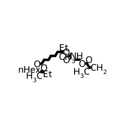 C=C(C)C(=O)OCCNC(=O)OC(C)(CC)CCCCCC(=O)OC(C)(CC)CCCCCC